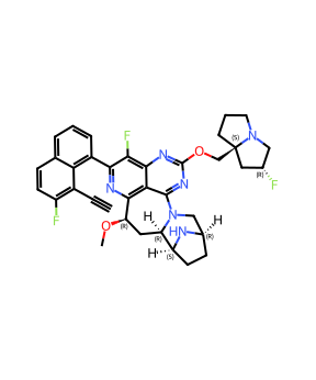 C#Cc1c(F)ccc2cccc(-c3nc4c5c(nc(OC[C@@]67CCCN6C[C@H](F)C7)nc5c3F)N3C[C@H]5CC[C@H](N5)[C@H]3C[C@H]4OC)c12